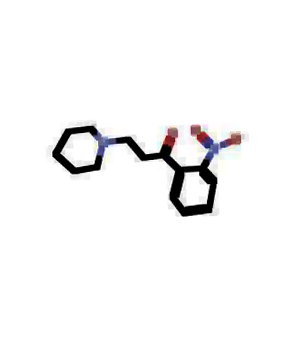 O=C(CCN1CCCCC1)c1ccccc1[N+](=O)[O-]